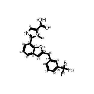 Cn1c(C(=O)O)cnc1-c1cccc2cc(Cc3cccc(C(F)(F)F)c3)sc12